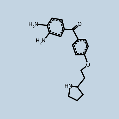 Nc1ccc(C(=O)c2ccc(OCCC3CCCN3)cc2)cc1N